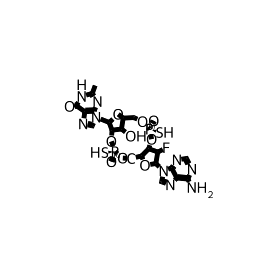 Cc1nc2c(ncn2C2OC3CO[P@@](=O)(S)OC4C(CO[P@@](=O)(S)OC2C3O)OC(n2cnc3c(N)ncnc32)C4F)c(=O)[nH]1